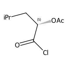 CC(=O)O[C@@H](CC(C)C)C(=O)Cl